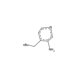 CCCCCc1ccncc1N